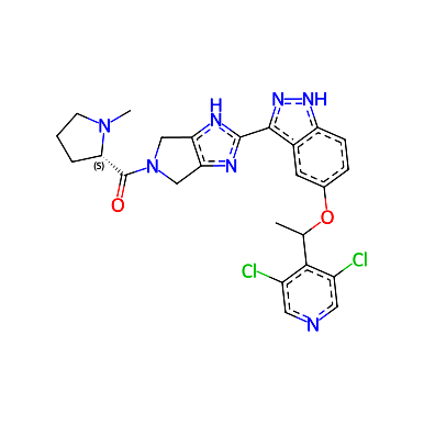 CC(Oc1ccc2[nH]nc(-c3nc4c([nH]3)CN(C(=O)[C@@H]3CCCN3C)C4)c2c1)c1c(Cl)cncc1Cl